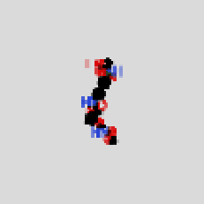 Cc1c(C(=O)Nc2ccc(-c3ccc(S(=O)(=O)NC(C(=O)O)C(C)C)cc3)cc2)oc2cccc(OCCNC(=O)OC(C)(C)C)c12